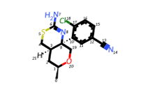 C[C@H]1C[C@H]2CSC(N)=N[C@@]2(c2cc(C#N)ccc2Cl)CO1